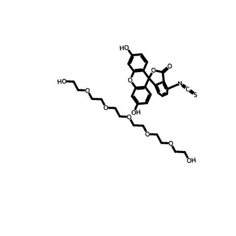 O=C1OC2(c3ccc(O)cc3Oc3cc(O)ccc32)c2cccc(N=C=S)c21.OCCOCCOCCOCCOCCOCCO